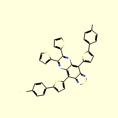 CCCCCc1ccc(-c2ccc(-c3c4nsnc4c(-c4ccc(-c5ccc(CCCCC)cc5)s4)c4nc(-c5cccs5)c(-c5cccs5)nc34)s2)cc1